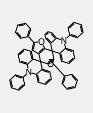 c1ccc(-c2cc3c(o2)C2(c4ccccc4N(c4ccccc4)c4ccccc42)c2cc(-c4ccccc4)oc2C32c3ccccc3N(c3ccccc3)c3ccccc32)cc1